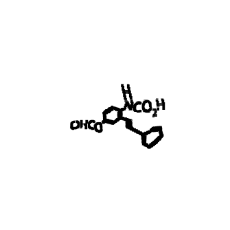 O=COc1ccc(NC(=O)O)c(C=Cc2ccccc2)c1